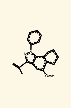 C=C(C)c1nn(-c2ccccc2)c2c1cc(OC)c1ccccc12